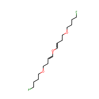 FCCCCOCCC=COC=CCCOCCCCF